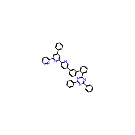 c1ccc(-c2cc(-c3ccccn3)nc(-c3ccc(-c4cccc(-c5ccccc5-c5nc(-c6ccccc6)nc(-c6ccccc6)n5)c4)cn3)c2)cc1